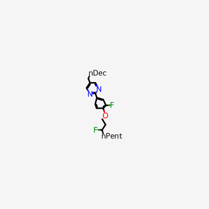 CCCCCCCCCCCc1cnc(-c2ccc(OCCC(F)CCCCC)c(F)c2)nc1